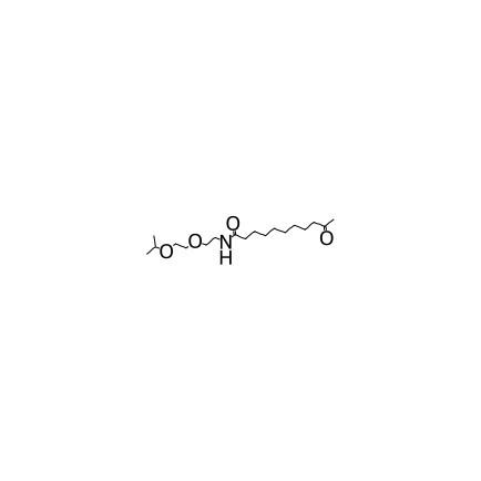 CC(=O)CCCCCCCCC(=O)NCCOCCOC(C)C